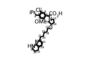 COc1cc(CC(C)C)c(Cl)cc1[C@H](C(=O)O)N1CC[C@@H](OCCCCCc2ccc3c(n2)NCCC3)C1